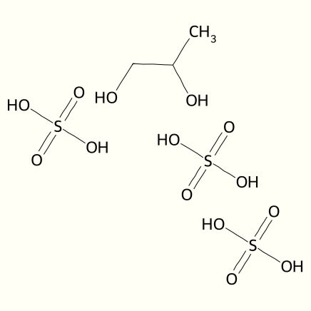 CC(O)CO.O=S(=O)(O)O.O=S(=O)(O)O.O=S(=O)(O)O